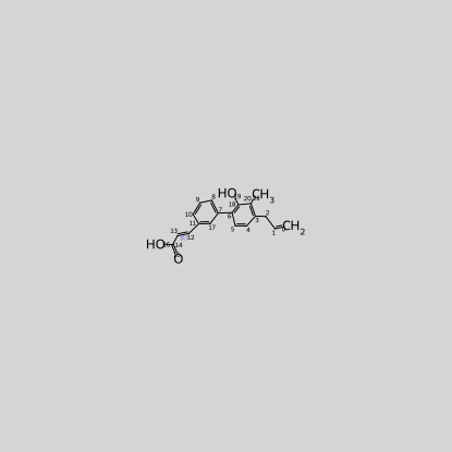 C=CCc1ccc(-c2cccc(/C=C/C(=O)O)c2)c(O)c1C